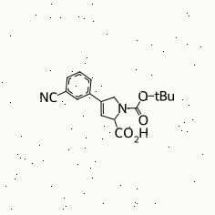 CC(C)(C)OC(=O)N1CC(c2cccc(C#N)c2)=CC1C(=O)O